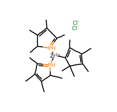 CC1=C(C)C(C)[PH]([Zr+2]([C]2=C(C)C(C)=C(C)C2(C)C)[PH]2=C(C)C(C)=C(C)C2C)=C1C.[Cl-].[Cl-]